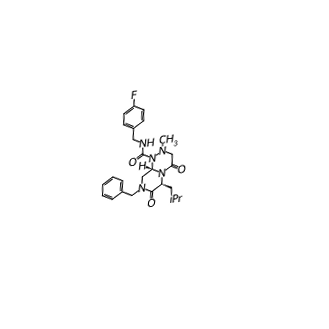 CC(C)C[C@H]1C(=O)N(Cc2ccccc2)C[C@H]2N1C(=O)CN(C)N2C(=O)NCc1ccc(F)cc1